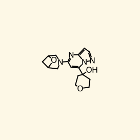 OC1(c2cc(N3CC4CC(C3)O4)nc3ccnn23)CCOCC1